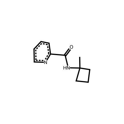 CC1(NC(=O)c2ccccn2)CCC1